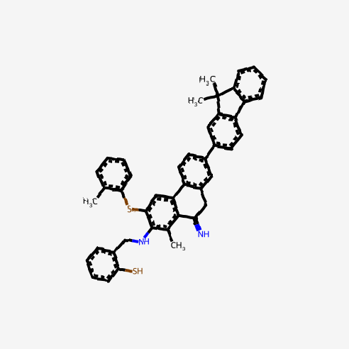 Cc1ccccc1Sc1cc2c(c(C)c1NCc1ccccc1S)C(=N)Cc1cc(-c3ccc4c(c3)C(C)(C)c3ccccc3-4)ccc1-2